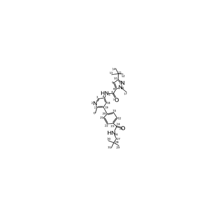 Cc1ncc(NC(=O)c2cc(C(C)(C)C)nn2C)cc1-c1ccc(C(=O)NCC(C)(C)C)cc1